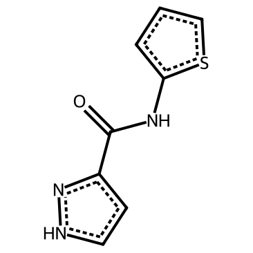 O=C(Nc1cccs1)c1cc[nH]n1